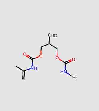 C=C(C)NC(=O)OCC(C=O)COC(=O)NCC